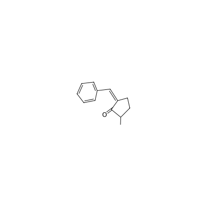 CC1CCC(=Cc2ccccc2)C1=O